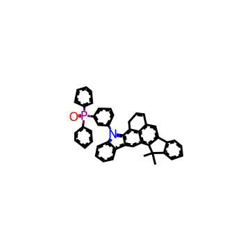 CC1(C)c2ccccc2-c2cc3c4c(c5c(cc4c21)c1ccccc1n5-c1cccc(P(=O)(c2ccccc2)c2ccccc2)c1)CC=C3